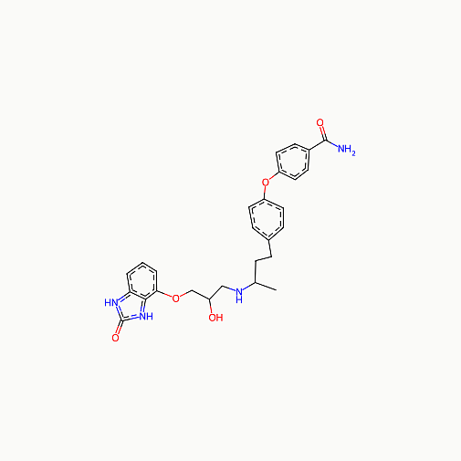 CC(CCc1ccc(Oc2ccc(C(N)=O)cc2)cc1)NCC(O)COc1cccc2[nH]c(=O)[nH]c12